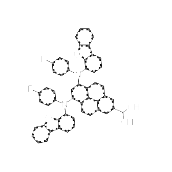 CC(C)c1cc2ccc3c(N(c4ccc(F)cc4)c4cccc5c4oc4ccccc45)cc(N(c4ccc(F)cc4)c4cccc5c4oc4ccccc45)c4ccc(c1)c2c34